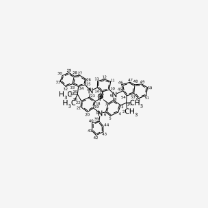 CC1(C)c2ccc3c4c2N(c2cccc5c2P4(=O)c2c(ccc4c2N5c2ccc5ccccc5c2C4(C)C)N3c2ccccc2)c2ccc3ccccc3c21